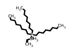 C=C[SiH2][PH](CCCCCCCC)(CCCCCCCC)CCCCCCCC